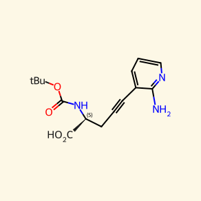 CC(C)(C)OC(=O)N[C@@H](CC#Cc1cccnc1N)C(=O)O